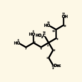 CCCCCCCCCCCCC(CC(O)CO)(CC(O)CO)C(=O)O